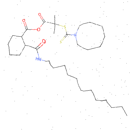 CCCCCCCCCCCCNC(=O)C1CCCCC1C(=O)OC(=O)C(C)(C)SC(=S)N1CCCCCCC1